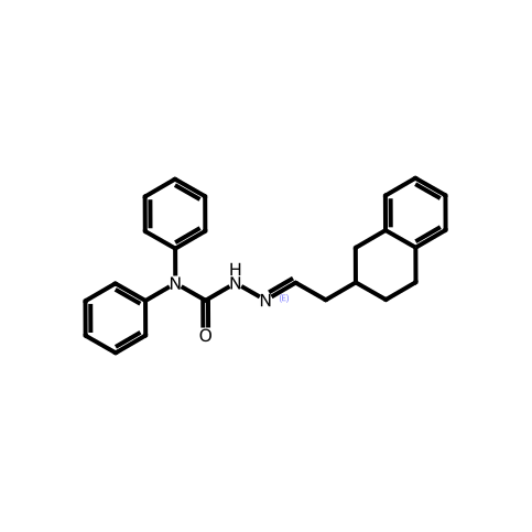 O=C(N/N=C/CC1CCc2ccccc2C1)N(c1ccccc1)c1ccccc1